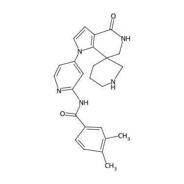 Cc1ccc(C(=O)Nc2cc(-n3ccc4c3C3(CCCNC3)CNC4=O)ccn2)cc1C